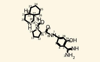 N=C(N)c1ccc(CNC(=O)[C@@H]2CCCN2C(=O)[C@@H]2NCC[C@H]3CCCC[C@H]32)cc1O